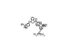 CC(C)c1nnc2ccc(O[C@@H]3CC[C@H](NC(=O)N/C(=C/C(=N)C(C)(C)C)Nc4cnn(CCN(C)C)c4)c4ccccc43)cn12